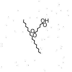 CCCCCCCCC(CCCCCCCC)OC(=O)CCCCC(=O)O